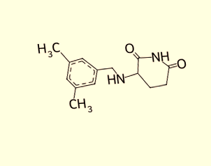 Cc1cc(C)cc(CNC2CCC(=O)NC2=O)c1